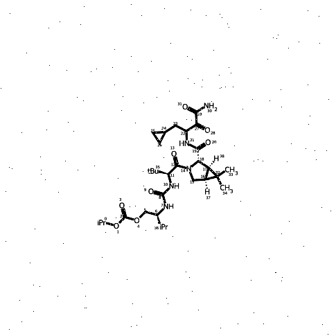 CC(C)OC(=O)OC[C@@H](NC(=O)N[C@H](C(=O)N1C[C@H]2[C@@H]([C@H]1C(=O)NC(CC1CC1)C(=O)C(N)=O)C2(C)C)C(C)(C)C)C(C)C